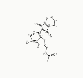 CC(=O)OCC1Cc2c(N3C(=O)C4=C(CCCC4)C3=O)ccc(Cl)c2O1